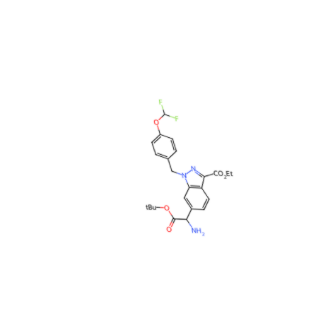 CCOC(=O)c1nn(Cc2ccc(OC(F)F)cc2)c2cc(C(N)C(=O)OC(C)(C)C)ccc12